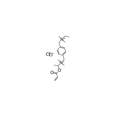 C=CC(=O)OC(C)[N+](C)(C)Cc1ccc(C[N+](C)(C)CC)cc1.[Cl-].[Cl-]